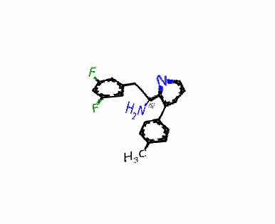 Cc1ccc(-c2cccnc2[C@@H](N)Cc2cc(F)cc(F)c2)cc1